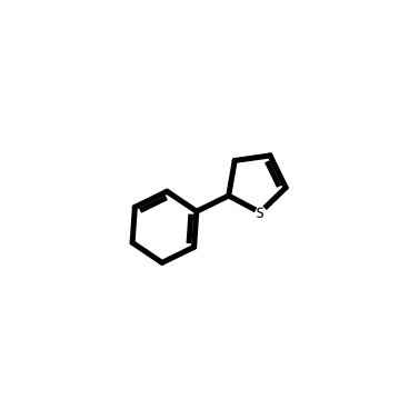 C1=CC(C2CC=CS2)=CCC1